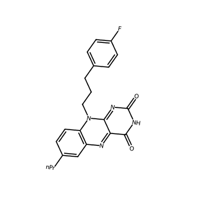 CCCc1ccc2c(c1)nc1c(=O)[nH]c(=O)nc-1n2CCCc1ccc(F)cc1